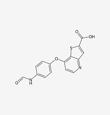 O=CNc1ccc(Oc2ccnc3cc(C(=O)O)sc23)cc1